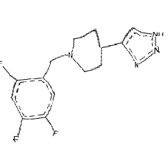 Fc1cc(F)c(CN2CCC(c3c[nH]nn3)CC2)cc1F